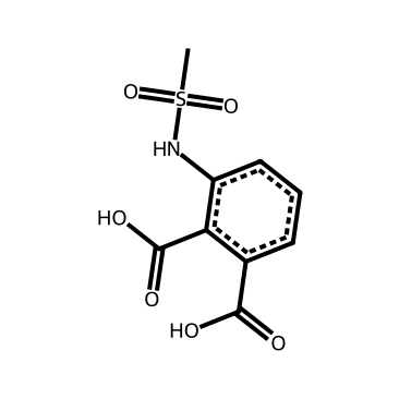 CS(=O)(=O)Nc1cccc(C(=O)O)c1C(=O)O